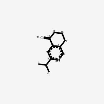 CC(C)c1cc2c(cn1)CCCC2=O